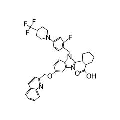 O=C(O)C1CCCCC1c1nc2cc(OCc3ccc4ccccc4n3)ccc2n1Cc1ccc(N2CCC(C(F)(F)F)CC2)cc1F